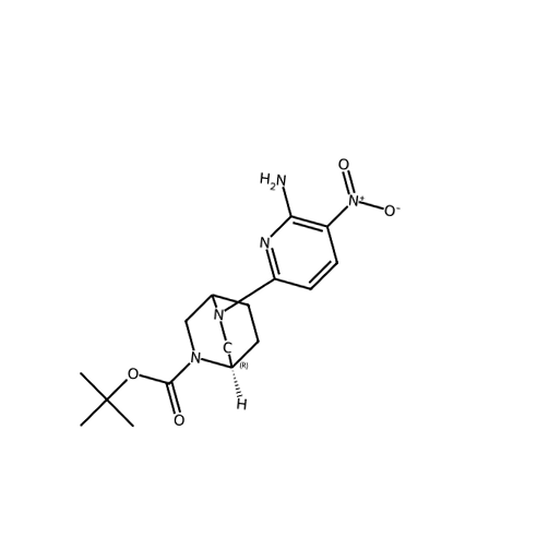 CC(C)(C)OC(=O)N1CC2CC[C@@H]1CN2c1ccc([N+](=O)[O-])c(N)n1